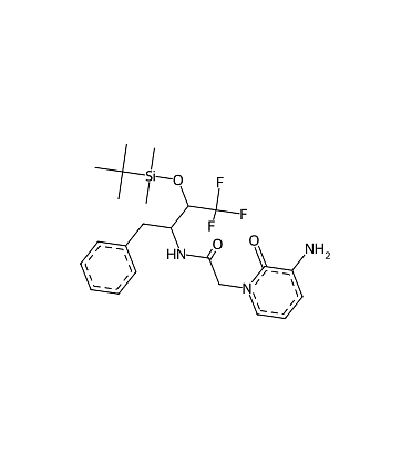 CC(C)(C)[Si](C)(C)OC(C(Cc1ccccc1)NC(=O)Cn1cccc(N)c1=O)C(F)(F)F